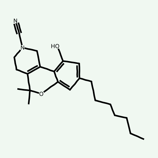 CCCCCCCc1cc(O)c2c(c1)OC(C)(C)C1=C2CN(C#N)CC1